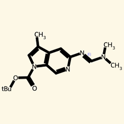 Cc1cn(C(=O)OC(C)(C)C)c2cnc(/N=C/N(C)C)cc12